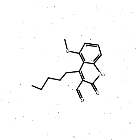 CCCCCc1c(C=O)c(=O)[nH]c2cccc(OC)c12